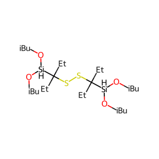 CCC(C)O[SiH](OC(C)CC)C(CC)(CC)SSC(CC)(CC)[SiH](OC(C)CC)OC(C)CC